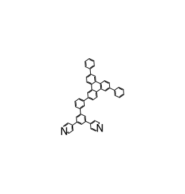 c1ccc(-c2ccc3c(c2)c2ccc(-c4cccc(-c5cc(-c6ccncc6)cc(-c6ccncc6)c5)c4)cc2c2ccc(-c4ccccc4)cc32)cc1